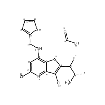 C[C@H](N)C(F)c1sc2c(NCc3cccs3)cc(Cl)nc2c1Cl.O=CO